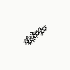 Cc1c(C(C)(C)Cc2cc3cc(N4C(=O)Cc5ccccc5C4=O)ncc3c(Cl)c2F)cnc2c1N(C(=O)O)CCC2